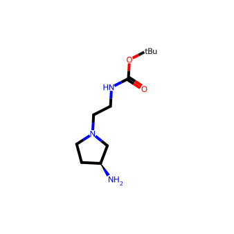 CC(C)(C)OC(=O)NCCN1CC[C@H](N)C1